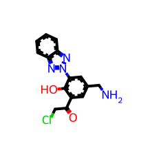 NCc1cc(C(=O)CCl)c(O)c(-n2nc3ccccc3n2)c1